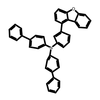 c1ccc(-c2ccc(N(c3ccc(-c4ccccc4)cc3)c3cccc(-c4cccc5oc6ccccc6c45)c3)cc2)cc1